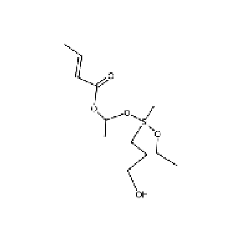 CC=CC(=O)OC(C)O[Si](C)(CCCO)OCC